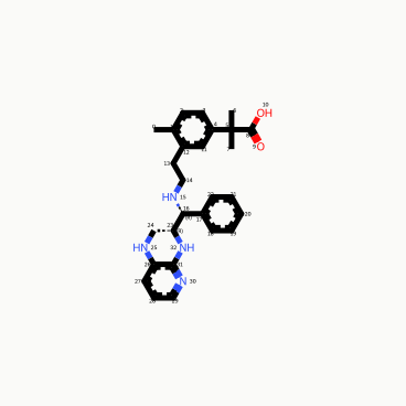 Cc1ccc(C(C)(C)C(=O)O)cc1CCN[C@H](c1ccccc1)[C@H]1CNc2cccnc2N1